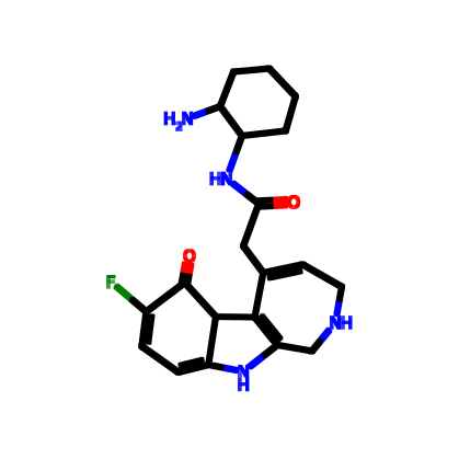 NC1CCCCC1NC(=O)CC1=CCNCC2=C1C1C(=O)C(F)=CC=C1N2